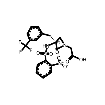 O=C(O)CN1C[C@](Cc2cccc(C(F)(F)F)c2)(NS(=O)(=O)c2ccccc2[N+](=O)[O-])C1=O